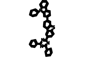 c1ccc(-c2nc(-c3ccccc3)nc(-c3ccc4sc5cc(-c6ccc7c8ccccc8n(-c8ccccc8)c7c6)ccc5c4c3)n2)cc1